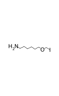 NCCCCCCOCI